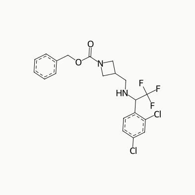 O=C(OCc1ccccc1)N1CC(CNC(c2ccc(Cl)cc2Cl)C(F)(F)F)C1